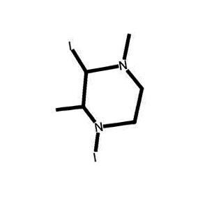 CC1C(I)N(C)CCN1I